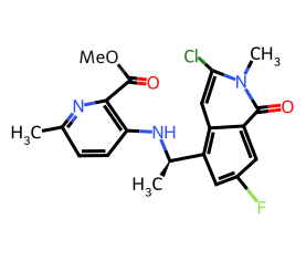 COC(=O)c1nc(C)ccc1N[C@H](C)c1cc(F)cc2c(=O)n(C)c(Cl)cc12